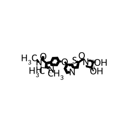 CNC(=O)c1c(C)n(C)c2cc(Oc3ccnc4cc(C(=O)N5C[C@@H](O)[C@@H](O)C5)sc34)ccc12